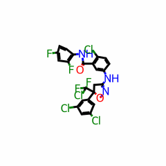 O=C(Nc1ccc(F)cc1F)c1cc(NC2=NOC(c3cc(Cl)cc(Cl)c3)(C(F)(F)Cl)C2)ccc1Cl